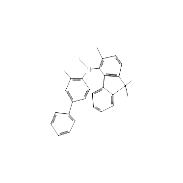 Cc1cc(-c2ccccc2)ccc1N(c1c(C)ccc2c1-c1ccccc1C2(C)C)C(C)(C)C